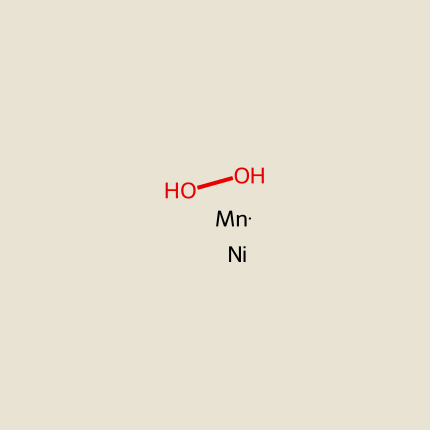 OO.[Mn].[Ni]